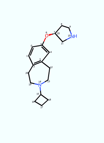 c1cc2c(cc1O[C@H]1CCNC1)CCN(C1CCC1)CC2